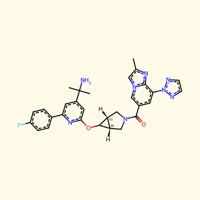 Cc1cn2cc(C(=O)N3C[C@@H]4C(Oc5cc(C(C)(C)N)cc(-c6ccc(F)cc6)n5)[C@@H]4C3)cc(-n3nccn3)c2n1